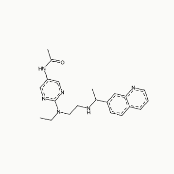 CCN(CCNC(C)c1ccc2cccnc2c1)c1ncc(NC(C)=O)cn1